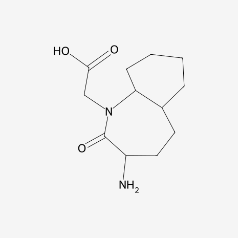 NC1CCC2CCCCC2N(CC(=O)O)C1=O